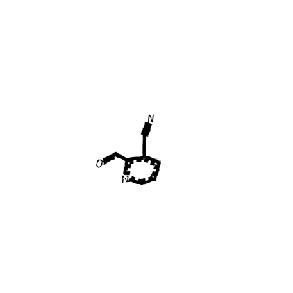 N#Cc1cccnc1C=O